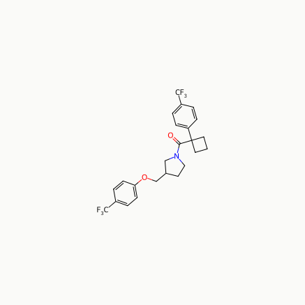 O=C(N1CCC(COc2ccc(C(F)(F)F)cc2)C1)C1(c2ccc(C(F)(F)F)cc2)CCC1